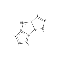 C1=CC2Nc3ccsc3C2S1